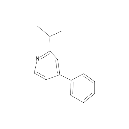 CC(C)c1cc(-c2ccccc2)ccn1